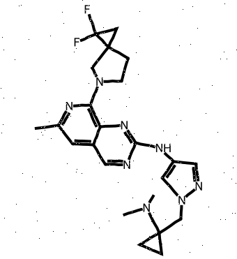 Cc1cc2cnc(Nc3cnn(CC4(N(C)C)CC4)c3)nc2c(N2CCC3(C2)CC3(F)F)n1